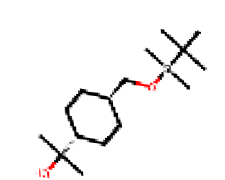 CC(C)(C)[Si](C)(C)OC[C@H]1CC[C@H](C(C)(C)O)CC1